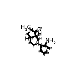 CN1C[C@@H]2CCN(c3ccncc3N)C[C@@H]2C1=O